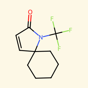 O=C1C=CC2(CCCCC2)N1C(F)(F)F